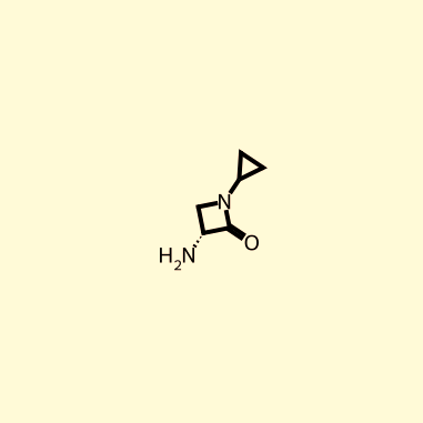 N[C@@H]1CN(C2CC2)C1=O